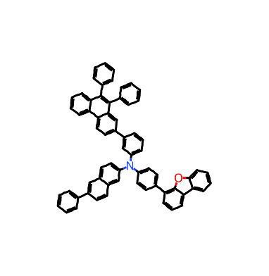 c1ccc(-c2ccc3cc(N(c4ccc(-c5cccc6c5oc5ccccc56)cc4)c4cccc(-c5ccc6c(c5)c(-c5ccccc5)c(-c5ccccc5)c5ccccc56)c4)ccc3c2)cc1